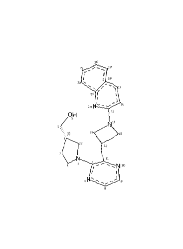 OC[C@H]1CCN(c2nccnc2C2CN(c3ccc4ccccc4n3)C2)C1